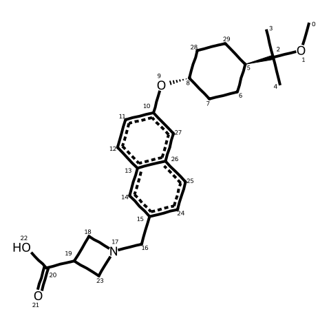 COC(C)(C)[C@H]1CC[C@H](Oc2ccc3cc(CN4CC(C(=O)O)C4)ccc3c2)CC1